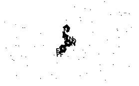 FC(F)(F)c1ccc(-c2cc(N3CC(CN4CCCC4)C3)c3nonc3c2)cc1